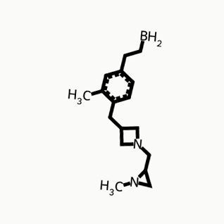 BCCc1ccc(CC2CN(CC3CN3C)C2)c(C)c1